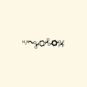 NCCOC(=O)N1CCN(C(=O)Oc2ccc(OC(F)(F)F)cc2)CC1